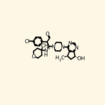 C[C@@H]1C[C@@H](O)c2ncnc(N3CCN(C(NC4(C)CCOCC4)C(C=O)c4ccc(Cl)cc4)CC3)c21